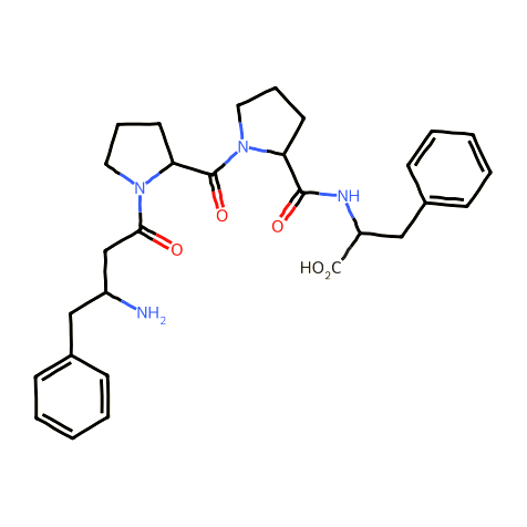 NC(CC(=O)N1CCCC1C(=O)N1CCCC1C(=O)NC(Cc1ccccc1)C(=O)O)Cc1ccccc1